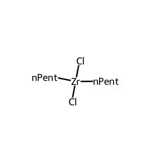 CCCC[CH2][Zr]([Cl])([Cl])[CH2]CCCC